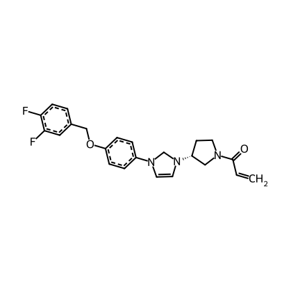 C=CC(=O)N1CC[C@@H](N2C=CN(c3ccc(OCc4ccc(F)c(F)c4)cc3)C2)C1